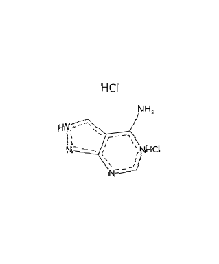 Cl.Cl.Nc1ncnc2n[nH]cc12